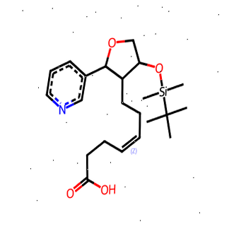 CC(C)(C)[Si](C)(C)OC1COC(c2cccnc2)C1CC/C=C\CCC(=O)O